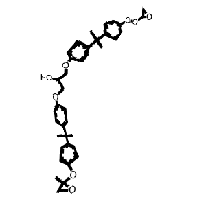 CC1(Oc2ccc(C(C)(C)c3ccc(OCC(O)COc4ccc(C(C)(C)c5ccc(OOC6CO6)cc5)cc4)cc3)cc2)CO1